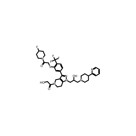 O=C(CSc1cc(-c2nn(CC(O)CN3CCC(c4ccccn4)CC3)c3c2CN(C(=O)CO)CC3)ccc1C(F)(F)F)N1CCC(F)CC1